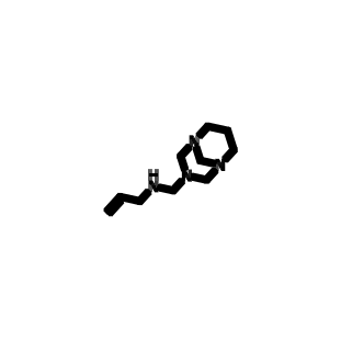 C=CCNCN1CN2CCCN(C2)C1